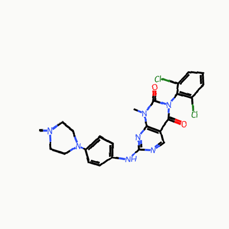 CN1CCN(c2ccc(Nc3ncc4c(=O)n(-c5c(Cl)cccc5Cl)c(=O)n(C)c4n3)cc2)CC1